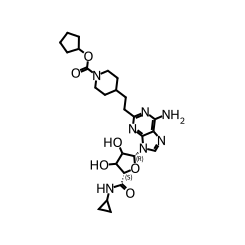 Nc1nc(CCC2CCN(C(=O)OC3CCCC3)CC2)nc2c1ncn2[C@@H]1O[C@H](C(=O)NC2CC2)C(O)C1O